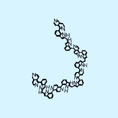 c1cc(-c2nccc3cnccc23)c2[nH]c(Cc3cc4cccc(-c5nccc6c(-c7cccc8cc(Cc9cc%10cccc(-c%11nccc%12c(-c%13cccc%14cc(Cc%15cc%16cccc(-c%17nccc%18c(-c%19cccc%20cc(Cc%21cc%22cccc(-c%23nccc%24cnccc%23%24)c%22[nH]%21)[nH]c%19%20)nccc%17%18)c%16[nH]%15)[nH]c%13%14)nccc%11%12)c%10[nH]9)[nH]c78)nccc56)c4[nH]3)cc2c1